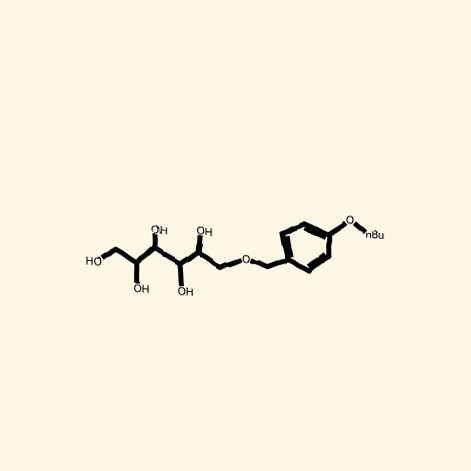 CCCCOc1ccc(COCC(O)C(O)C(O)C(O)CO)cc1